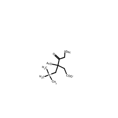 CCCCCCCCCCCC(=O)C(CC(=O)[O-])(C[N+](C)(C)C)OC(C)=O